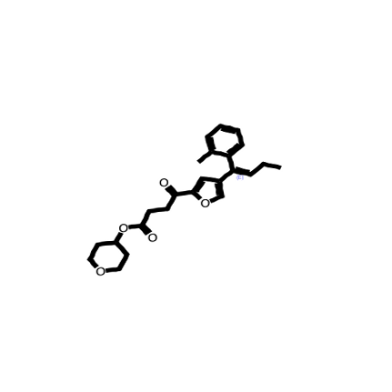 CC/C=C(/c1coc(C(=O)CCC(=O)OC2CCOCC2)c1)c1ccccc1C